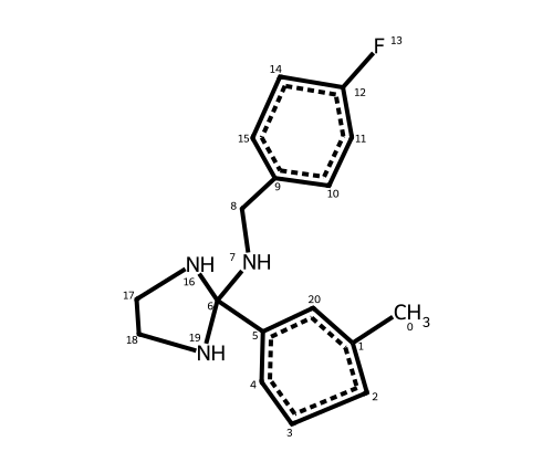 Cc1cccc(C2(NCc3ccc(F)cc3)NCCN2)c1